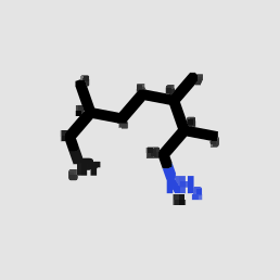 CC(C)CC(C)CCC(C)C(C)CN